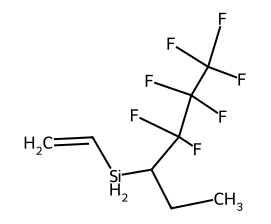 C=C[SiH2]C(CC)C(F)(F)C(F)(F)C(F)(F)F